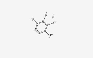 CCCc1ccc(F)[c]([Ti])c1F.[Ti]